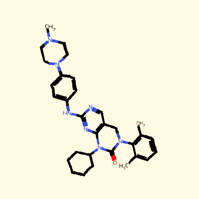 Cc1cccc(C)c1N1Cc2cnc(Nc3ccc(N4CCN(C)CC4)cc3)nc2N(C2CCCCC2)C1=O